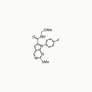 COCNC(=O)c1cc2cnc(SC)nc2n1-c1ccc(F)cc1